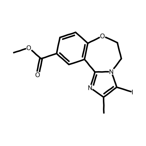 COC(=O)c1ccc2c(c1)-c1nc(C)c(I)n1CCO2